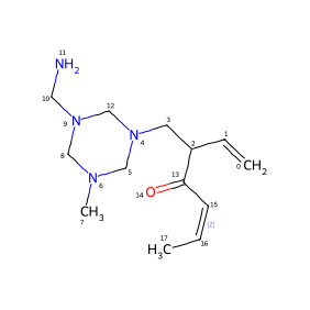 C=CC(CN1CN(C)CN(CN)C1)C(=O)/C=C\C